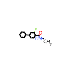 CCNC(=O)c1ccc(-c2ccccc2)cc1F